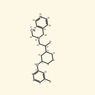 Cc1cccc(OC2CCCC(C(C)CN(CC#N)Cc3ccncc3)C2)c1